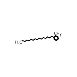 [CH2]c1ccccc1CCCCCCCCCCCCCCCC